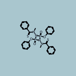 CN(C(=S)c1ccccc1)N1P(=O)(Oc2ccccc2)N(N(C)C(=S)c2ccccc2)P1(=O)Oc1ccccc1